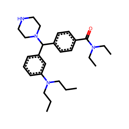 CCCN(CCC)c1cccc(C(c2ccc(C(=O)N(CC)CC)cc2)N2CCNCC2)c1